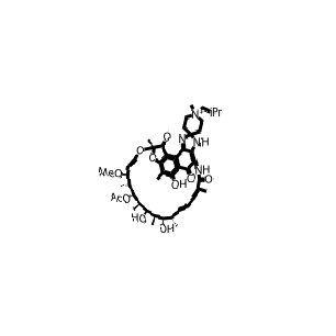 CO[C@H]1/C=C/O[C@@]2(C)Oc3c(C)c(O)c4c(c3C2=O)C2=NC3(CC[N+](C)(CC(C)C)CC3)NC2=C(NC(=O)/C(C)=C\C=C\[C@H](C)[C@H](O)[C@@H](C)[C@@H](O)[C@@H](C)[C@H](OC(C)=O)[C@@H]1C)C4=O